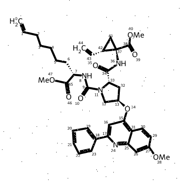 C=CCCCCC[C@H](NC(=O)N1C[C@H](Oc2cc(-c3ccccc3)nc3cc(OC)ccc23)C[C@H]1C(=O)N[C@]1(C(=O)OC)C[C@H]1C=C)C(=O)OC